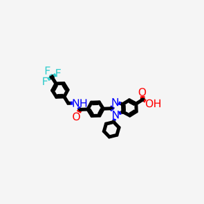 O=C(O)c1ccc2c(c1)nc(-c1ccc(C(=O)NCc3ccc(C(F)(F)F)cc3)cc1)n2C1CCCCC1